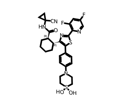 N#CC1(NC(=O)[C@@H]2CCCC[C@H]2c2nc(-c3ncc(F)cc3F)sc2-c2ccc(N3CCS(O)(O)CC3)cc2)CC1